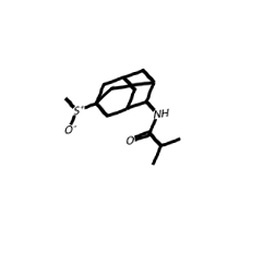 CC(C)C(=O)NC1C2CC3CC1CC([S+](C)[O-])(C3)C2